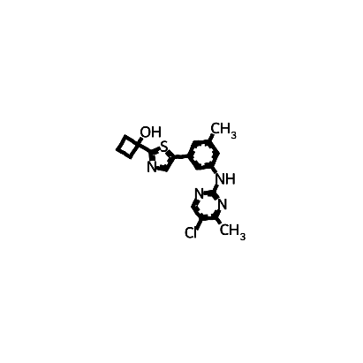 Cc1cc(Nc2ncc(Cl)c(C)n2)cc(-c2cnc(C3(O)CCC3)s2)c1